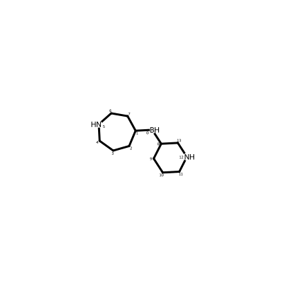 B(C1CCCNCC1)C1CCCNC1